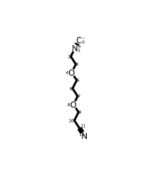 [C-]#[N+]CCOCCCOCCC#N